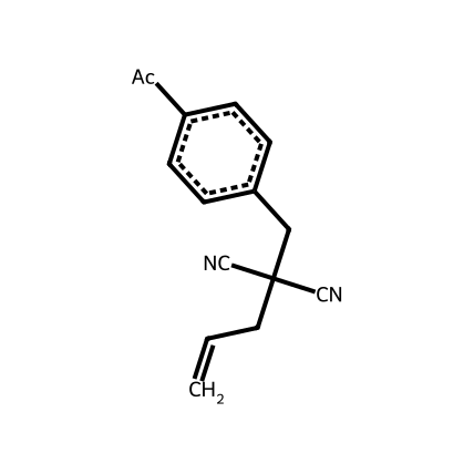 C=CCC(C#N)(C#N)Cc1ccc(C(C)=O)cc1